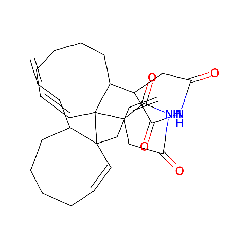 C=CCC1CCCCC=CC1(CC=C)C1(C2CC(=O)NC2=O)C=CCCCCC1C1CC(=O)NC1=O